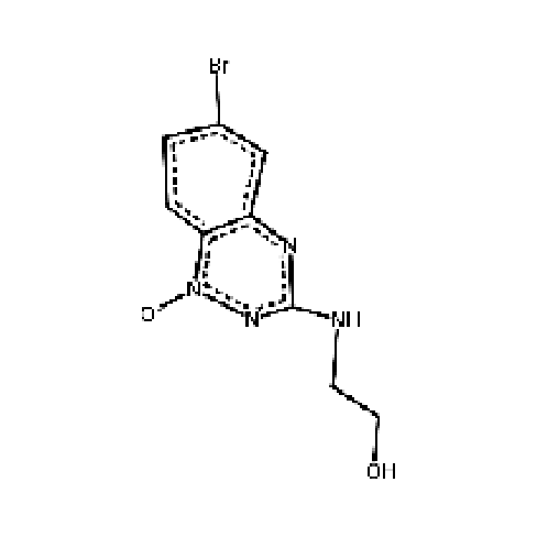 [O-][n+]1nc(NCCO)nc2cc(Br)ccc21